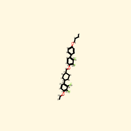 CCCCOc1ccc(-c2ccc(OCC3CCC(c4ccc(OCC)c(F)c4F)CC3)c(F)c2F)cc1